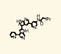 CC(C)CC(=O)Nc1cncc(-c2cnc3[nH]nc(-c4cc5c(-c6ccccn6)cncc5[nH]4)c3c2)c1